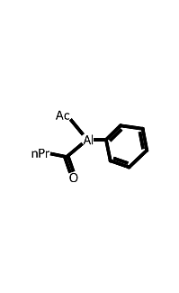 CCC[C](=O)[Al]([C](C)=O)[c]1ccccc1